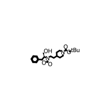 CC(C)(C)OC(=O)N1CCC(CCN2C(=O)OC(c3ccccc3)[C@H]2CO)CC1